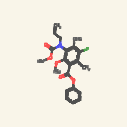 C=CCN(C(=O)OC(C)(C)C)c1c(C=O)c(F)c(C)c(C(=O)Oc2ccccc2)c1OCCCC